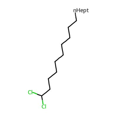 CCCCCCCCCCCCCCCCC(Cl)Cl